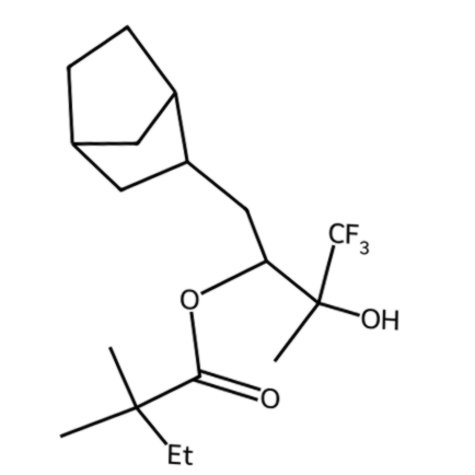 CCC(C)(C)C(=O)OC(CC1CC2CCC1C2)C(C)(O)C(F)(F)F